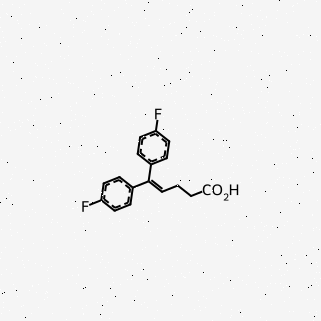 O=C(O)CCC=C(c1ccc(F)cc1)c1ccc(F)cc1